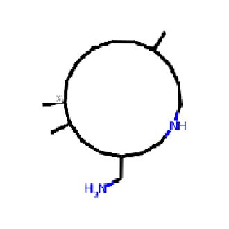 CC1CCCCC[C@H](C)C(C)CCC(CN)CCNCCC1